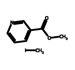 CI.COC(=O)c1cccnc1